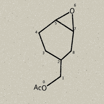 CC(=O)OCC1CCC2OC2C1